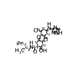 CC(C)CC(C)CNC(=O)c1cc(Oc2c(Cl)cc(Nc3nn[nH]n3)cc2Cl)ccc1O